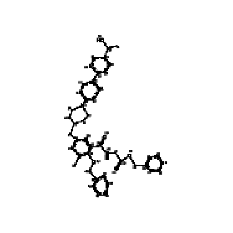 Cc1nc(CC2CCN(c3ccc(-c4ccc(C(C)O)cn4)cc3)CC2)nc(C(=O)NCC(=O)OCc2ccccc2)c1OCc1ccccc1